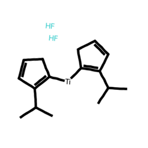 CC(C)C1=[C]([Ti][C]2=C(C(C)C)C=CC2)CC=C1.F.F